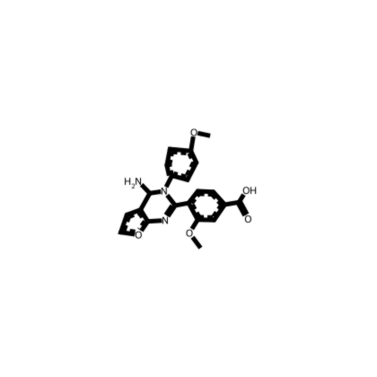 COc1ccc(N2C(c3ccc(C(=O)O)cc3OC)=Nc3occc3C2N)cc1